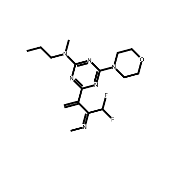 C=C(/C(=N\C)C(F)F)c1nc(N(C)CCC)nc(N2CCOCC2)n1